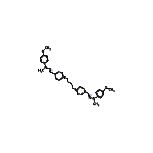 COc1ccc(N(C)/N=C/c2cc[n+](CCCC[n+]3ccc(/C=N/N(C)c4ccc(OC)cc4)cc3)cc2)cc1